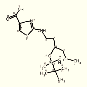 COCC(CCNc1nc(C(=O)O)cs1)O[Si](C)(C)C(C)(C)C